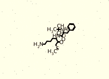 CSCC(=O)C(CCCCN)NC(=O)C(Cc1ccccc1)NC(C)(C)C